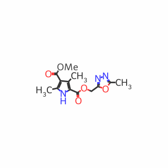 COC(=O)c1c(C)[nH]c(C(=O)OCc2nnc(C)o2)c1C